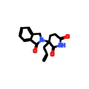 C=CCC1(N2Cc3ccccc3C2=O)CCC(=O)NC1=O